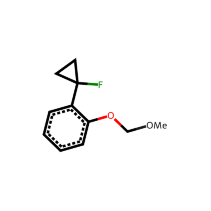 COCOc1ccccc1C1(F)CC1